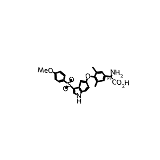 COc1ccc(S(=O)(=O)c2c[nH]c3ccc(Oc4c(C)cc([C@@H](N)C(=O)O)cc4C)cc23)cc1